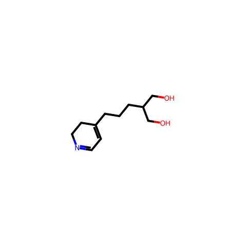 OCC(CO)CCCC1=CC=NCC1